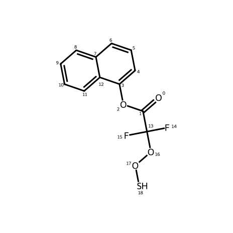 O=C(Oc1cccc2ccccc12)C(F)(F)OOS